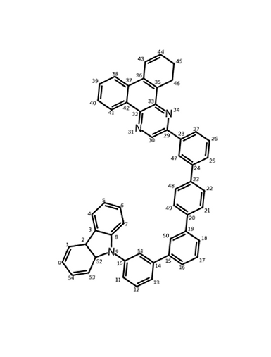 C1=CC2c3ccccc3N(c3cccc(-c4cccc(-c5ccc(-c6cccc(-c7cnc8c(n7)c7c(c9ccccc98)C=CCC7)c6)cc5)c4)c3)C2C=C1